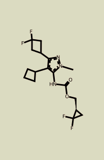 Cn1nc(C2CC(F)(F)C2)c(C2CCC2)c1NC(=O)OC[C@H]1CC1(F)F